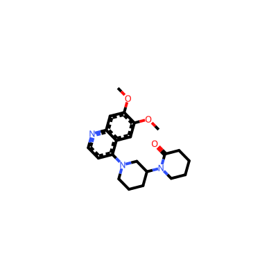 COc1cc2nccc(N3CCCC(N4CCCCC4=O)C3)c2cc1OC